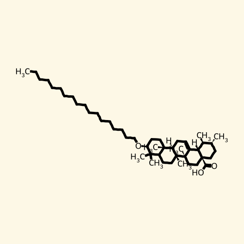 CCCCCCCCCCCCCCCCCCO[C@H]1CC[C@@]2(C)C(CC[C@]3(C)[C@@H]2CC=C2[C@@H]4[C@@H](C)[C@H](C)CC[C@]4(C(=O)O)CC[C@]23C)C1(C)C